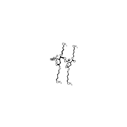 CCCCCCOC(=O)CC(C(=O)OCCCCCC)S(=O)(=O)[O-].CCCCCCOC(=O)CC(C(=O)OCCCCCC)S(=O)(=O)[O-].[Na+].[Na+]